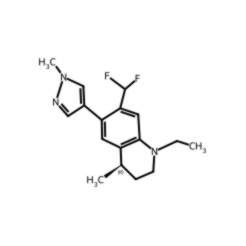 CCN1CC[C@@H](C)c2cc(-c3cnn(C)c3)c(C(F)F)cc21